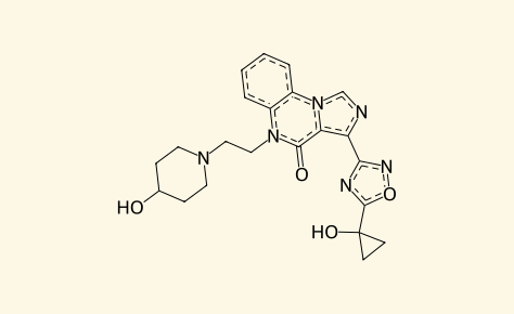 O=c1c2c(-c3noc(C4(O)CC4)n3)ncn2c2ccccc2n1CCN1CCC(O)CC1